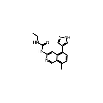 CCNC(=O)Nc1cc2c(-c3cn[nH]c3)ccc(C)c2cn1